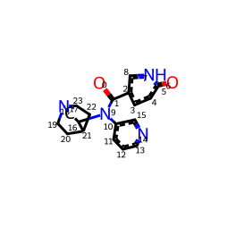 O=C(c1ccc(=O)[nH]c1)N(c1cccnc1)C1CN2CCC1CC2